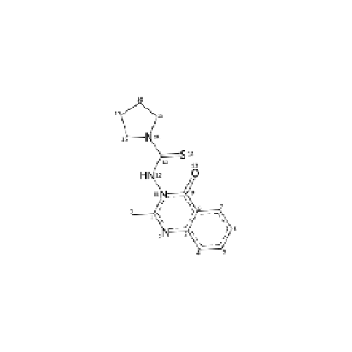 Cc1nc2ccccc2c(=O)n1NC(=S)N1CCCC1